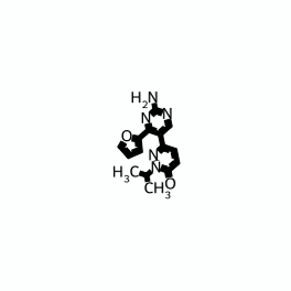 CC(C)n1nc(-c2cnc(N)nc2-c2ccco2)ccc1=O